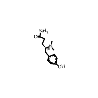 CN(C)[C@H](CCC(N)=O)Cc1ccc(O)cc1